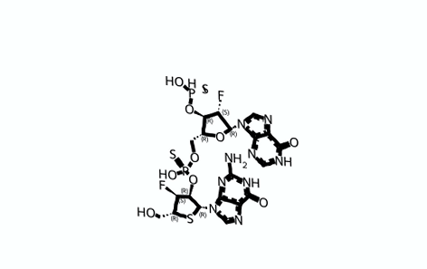 Nc1nc2c(ncn2[C@@H]2S[C@H](CO)[C@@H](F)[C@H]2OP(O)(=S)OC[C@H]2O[C@@H](n3cnc4c(=O)[nH]cnc43)[C@@H](F)[C@@H]2O[PH](O)=S)c(=O)[nH]1